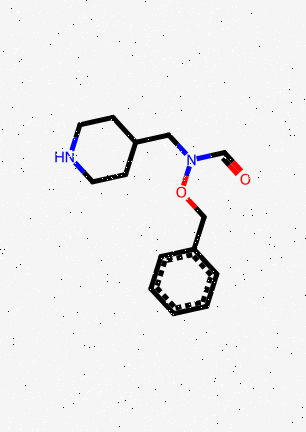 O=CN(CC1CCNCC1)OCc1ccccc1